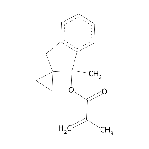 C=C(C)C(=O)OC1(C)c2ccccc2CC12CC2